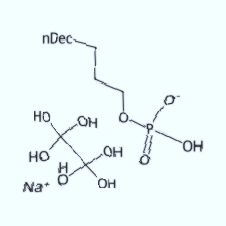 CCCCCCCCCCCCCOP(=O)([O-])O.OC(O)(O)C(O)(O)O.[Na+]